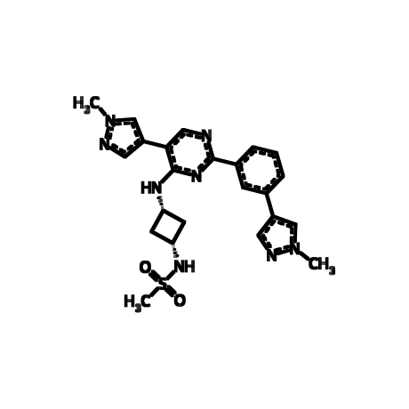 Cn1cc(-c2cccc(-c3ncc(-c4cnn(C)c4)c(N[C@H]4C[C@@H](NS(C)(=O)=O)C4)n3)c2)cn1